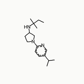 CCC(C)(C)NC1CCN(c2ccc(C(C)C)cn2)C1